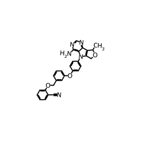 CC1OCc2c1c1ncnc(N)c1n2-c1ccc(Oc2cccc(COc3ccccc3C#N)c2)cc1